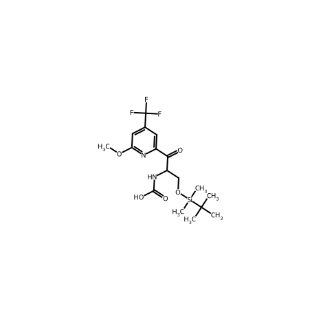 COc1cc(C(F)(F)F)cc(C(=O)C(CO[Si](C)(C)C(C)(C)C)NC(=O)O)n1